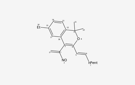 C=C(N=O)C1=C(/C=C/CCCCC)OC(C)(C)c2ccc(CC)cc21